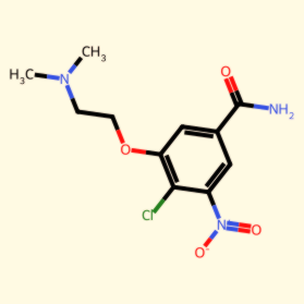 CN(C)CCOc1cc(C(N)=O)cc([N+](=O)[O-])c1Cl